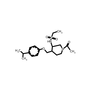 CCS(=O)(=O)NC1CN(C(C)=O)CCC1COc1ccc(C(C)C)cc1